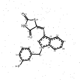 O=C1NC(=O)C(=Cc2cn(Cc3cccc(F)c3)c3ccccc23)S1